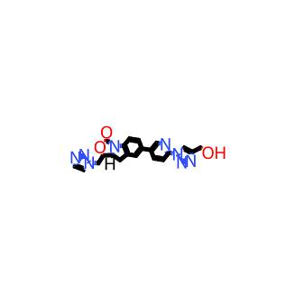 O=C1OC(Cn2ccnn2)[C@@H]2Cc3cc(-c4ccc(-n5cc(CO)nn5)nc4)ccc3N12